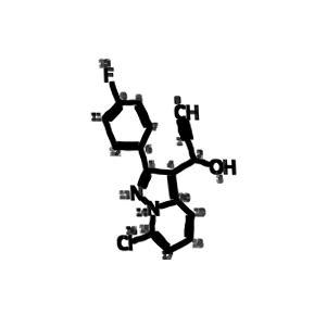 C#CC(O)c1c(-c2ccc(F)cc2)nn2c(Cl)cccc12